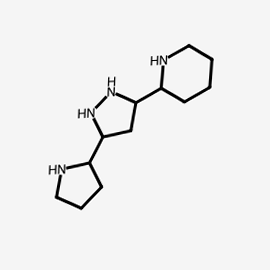 C1CCC(C2CC(C3CCCN3)NN2)NC1